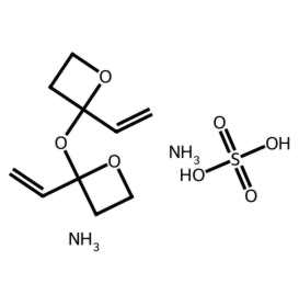 C=CC1(OC2(C=C)CCO2)CCO1.N.N.O=S(=O)(O)O